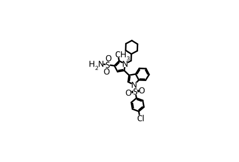 Cc1c(S(N)(=O)=O)cc(-c2cn(S(=O)(=O)c3ccc(Cl)cc3)c3ccccc23)n1CC1CCCCC1